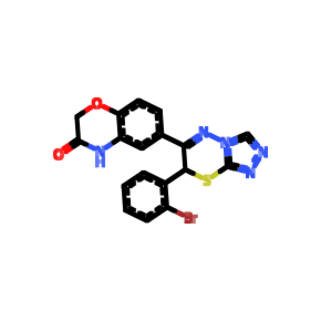 O=C1COc2ccc(C3=Nn4cnnc4SC3c3ccccc3Br)cc2N1